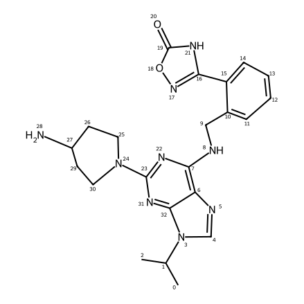 CC(C)n1cnc2c(NCc3ccccc3-c3noc(=O)[nH]3)nc(N3CCC(N)CC3)nc21